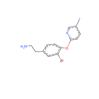 Cc1ccc(Oc2ccc(CCN)cc2Br)nc1